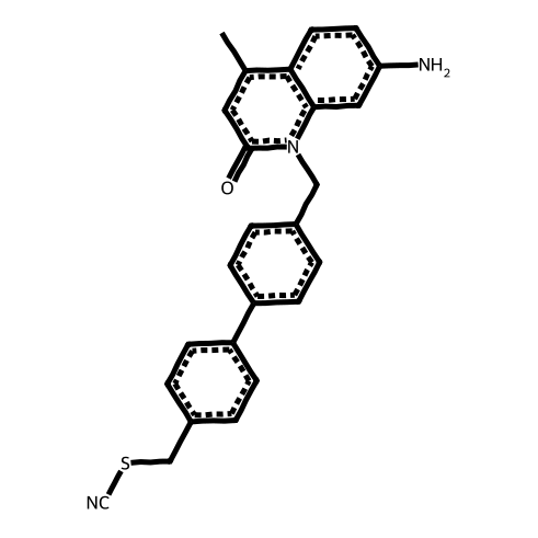 Cc1cc(=O)n(Cc2ccc(-c3ccc(CSC#N)cc3)cc2)c2cc(N)ccc12